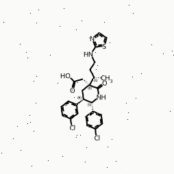 C[C@@H](CCNc1nccs1)[C@]1(CC(=O)O)C[C@H](c2cccc(Cl)c2)[C@@H](c2ccc(Cl)cc2)NC1=O